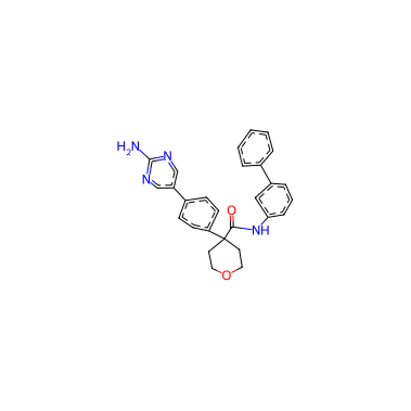 Nc1ncc(-c2ccc(C3(C(=O)Nc4cccc(-c5ccccc5)c4)CCOCC3)cc2)cn1